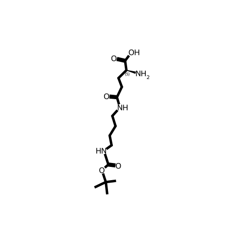 CC(C)(C)OC(=O)NCCCCNC(=O)CC[C@H](N)C(=O)O